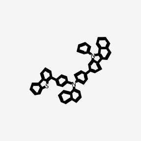 c1ccc(-n2c3cc(-c4ccc(N(c5ccc(-c6cccc7c6sc6ccccc67)cc5)c5cccc6ccccc56)cc4)ccc3c3ccc4ccccc4c32)cc1